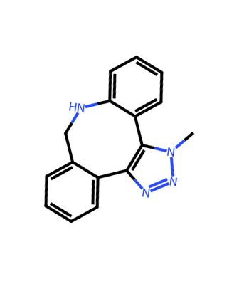 Cn1nnc2c1-c1ccccc1NCc1ccccc1-2